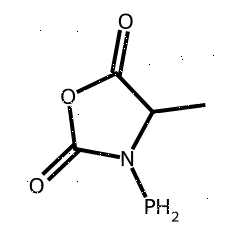 CC1C(=O)OC(=O)N1P